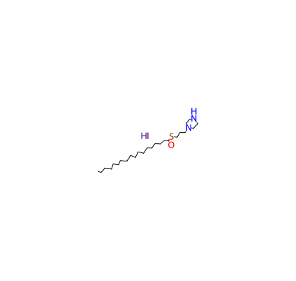 CCCCCCCCCCCCCCCCCC(=O)SCCCN1CCNCC1.I